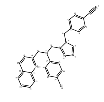 N#Cc1ccc(Cn2cnnc2CN(Cc2ccc3ccccc3n2)c2ccc(Br)cc2)cc1